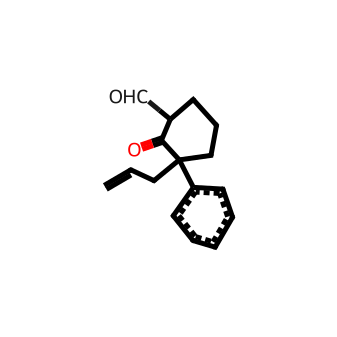 C=CCC1(c2ccccc2)CCCC(C=O)C1=O